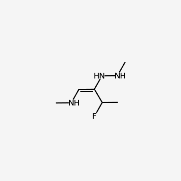 CN/C=C(/NNC)C(C)F